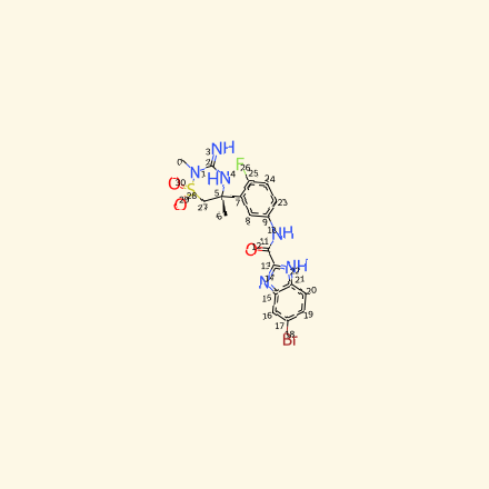 CN1C(=N)N[C@](C)(c2cc(NC(=O)c3nc4cc(Br)ccc4[nH]3)ccc2F)CS1(=O)=O